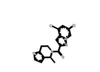 CC1c2ccoc2CCN1C(=O)c1cc2c(Cl)cc(Cl)cn2n1